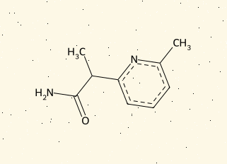 Cc1cccc(C(C)C(N)=O)n1